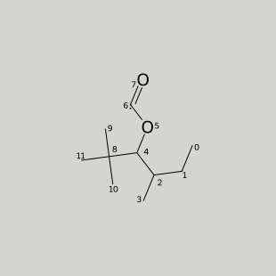 CCC(C)C(O[C]=O)C(C)(C)C